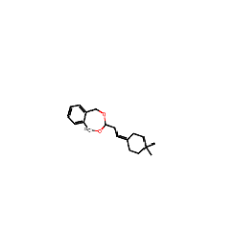 CC1(C)CCC(=CCC2OCc3ccccc3[13CH2]O2)CC1